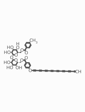 C#CC#CC#CC#CC#CC#CC#CC#COc1ccc(C(=O)OC[C@H]2O[C@H](O[C@H]3O[C@H](COC(=O)c4ccc(C)cc4)[C@@H](O)[C@H](O)[C@H]3O)[C@H](O)[C@@H](O)[C@@H]2O)cc1